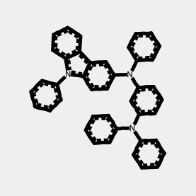 c1ccc(N(c2ccccc2)c2cccc(N(c3ccccc3)c3ccc4c(c3)c3ccccc3n4-c3ccccc3)c2)cc1